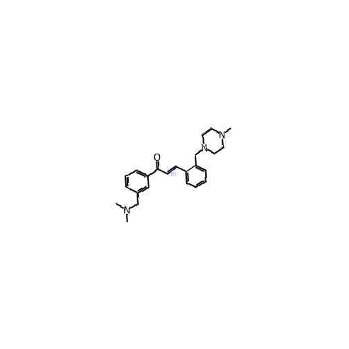 CN(C)Cc1cccc(C(=O)/C=C/c2ccccc2CN2CCN(C)CC2)c1